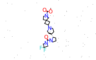 COC(=O)N1CCC2(CC(N3CC=C([C@@H]4CCCN4C(=O)N4CC(F)(F)C4)CC3)C2)C1